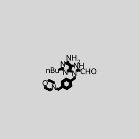 CCCCc1nc(N)c2c(n1)N(Cc1ccc(CN3CCOCC3)cc1)C(C=O)N2